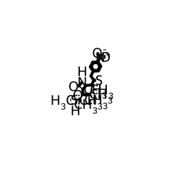 C[C@@H](C(=S)Cc1ccc([N+](=O)[O-])cc1)[C@H]1NC(=O)[C@@H]1[C@@](C)(O[SiH](C)C)C(C)(C)C